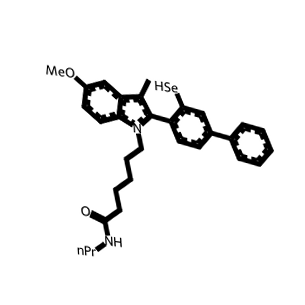 CCCNC(=O)CCCCCn1c(-c2ccc(-c3ccccc3)cc2[SeH])c(C)c2cc(OC)ccc21